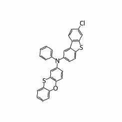 Clc1ccc2c(c1)sc1ccc(N(c3ccccc3)c3ccc4c(c3)Sc3ccccc3O4)cc12